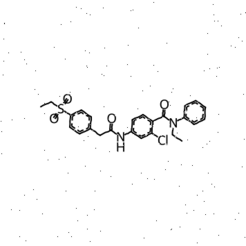 CCN(C(=O)c1ccc(NC(=O)Cc2ccc(S(=O)(=O)CC)cc2)cc1Cl)c1ccccc1